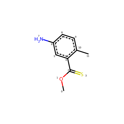 COC(=S)c1cc(N)ccc1C